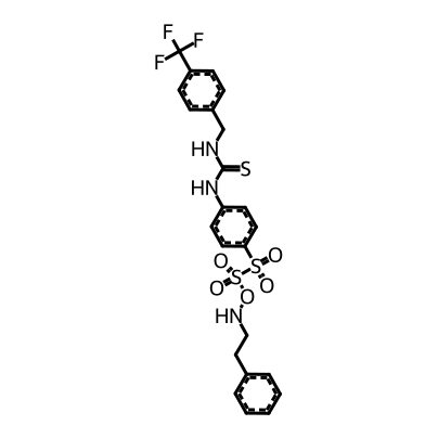 O=S(=O)(ONCCc1ccccc1)S(=O)(=O)c1ccc(NC(=S)NCc2ccc(C(F)(F)F)cc2)cc1